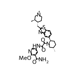 COc1ncc(NC(=O)C(=O)N2C[C@@H](C)CC[C@@H]2c2ccc3sc(C[C@H]4CCN(C)C[C@@H]4C)nc3c2)cc1C(N)=O